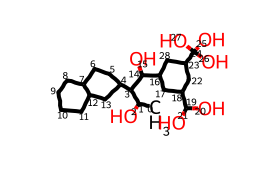 CC(O)C(C1CCC2CCCCC2C1)C(O)C1CC(C(O)O)CC(C(O)(O)O)C1